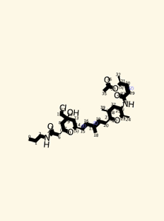 CCCNC(=O)C[C@@H]1C[C@@](O)(CCl)C[C@@H](/C=C/C(C)=C/C[C@@H]2O[C@H](C)[C@H](NC(=O)/C=C\[C@H](C)OC(C)=O)C[C@@H]2C)O1